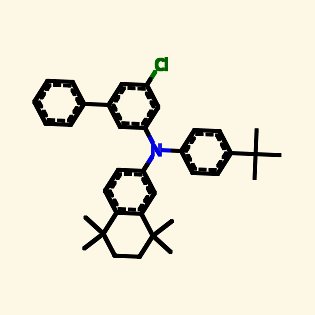 CC(C)(C)c1ccc(N(c2cc(Cl)cc(-c3ccccc3)c2)c2ccc3c(c2)C(C)(C)CCC3(C)C)cc1